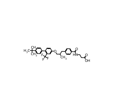 CC(COc1ccc(-c2ccc(C(C)(C)C)cc2)c(C(F)(F)F)c1)Cc1ccc(C(=O)NCCC(=O)O)cc1